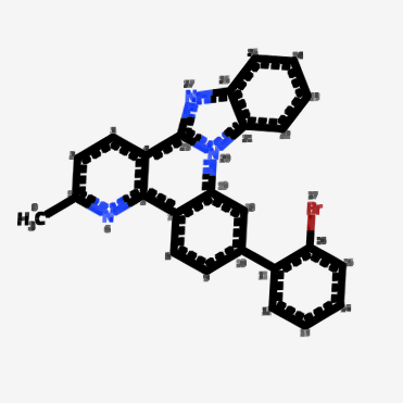 Cc1ccc2c(n1)c1ccc(-c3ccccc3Br)cc1n1c3ccccc3nc21